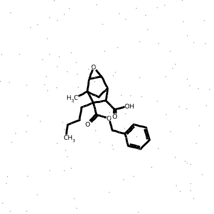 CCCCC1(C(=O)OCc2ccccc2)C(C(=O)O)C2CC1(C)C1OC21